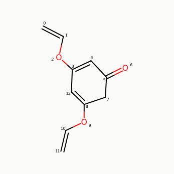 C=COC1=CC(=O)CC(OC=C)=C1